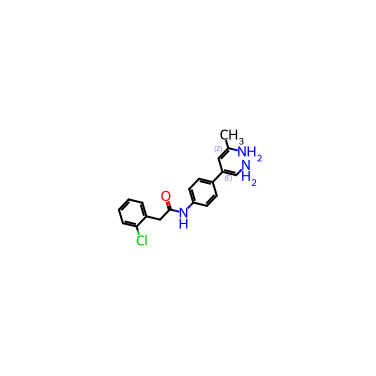 C/C(N)=C/C(=C\N)c1ccc(NC(=O)Cc2ccccc2Cl)cc1